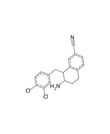 N#Cc1ccc2c(c1)C(Cc1ccc(Cl)c(Cl)c1)C(N)CC2